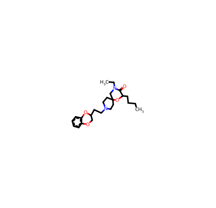 CCCCC1OC2(CCN(CCC3COc4ccccc4O3)CC2)CN(CC)C1=O